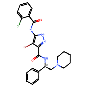 O=C(Nc1[nH]nc(C(=O)N[C@@H](CN2CCCCC2)c2ccccc2)c1Br)c1ccccc1Cl